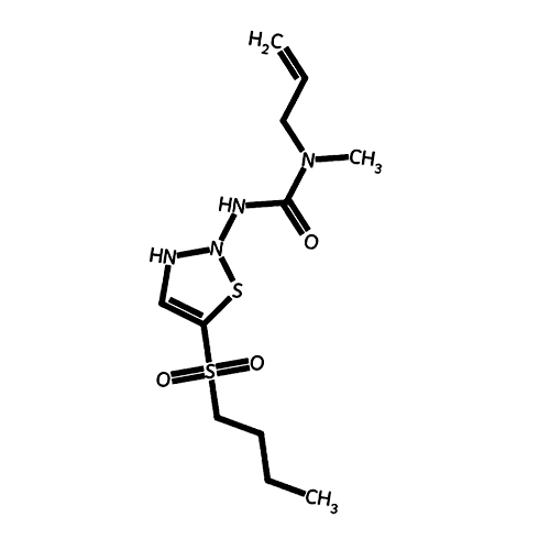 C=CCN(C)C(=O)NN1NC=C(S(=O)(=O)CCCC)S1